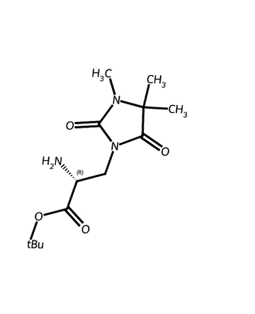 CN1C(=O)N(C[C@@H](N)C(=O)OC(C)(C)C)C(=O)C1(C)C